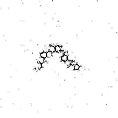 NCC(=O)Nc1cccc(CNc2nc(Nc3cccc(NC(=O)N4CCCC4)c3)ncc2Br)c1